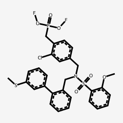 COc1ccccc1S(=O)(=O)N(Cc1ccc(CP(=O)(OF)OF)c(Cl)c1)Cc1ccccc1-c1cccc(SC)c1